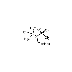 CCCCCCCC([Si](C)(C)C)P(=O)(O)O